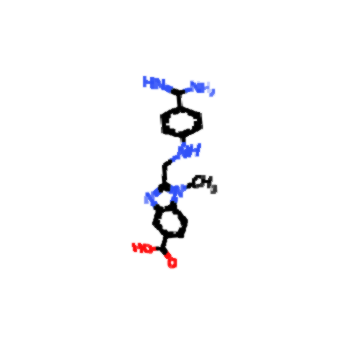 Cn1c(CNc2ccc(C(=N)N)cc2)nc2cc(C(=O)O)ccc21